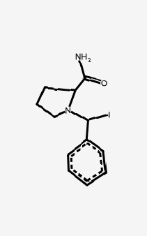 NC(=O)C1CCCN1C(I)c1ccccc1